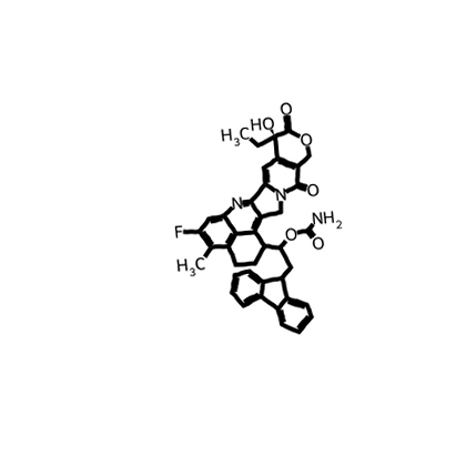 CC[C@@]1(O)C(=O)OCc2c1cc1n(c2=O)Cc2c-1nc1cc(F)c(C)c3c1c2C(C(CC1c2ccccc2-c2ccccc21)OC(N)=O)CC3